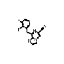 N#Cc1cn2ccnc2c(Cc2cccc(F)c2F)n1